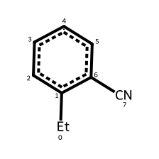 CCc1cc[c]cc1C#N